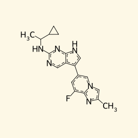 Cc1cn2cc(-c3c[nH]c4nc(NC(C)C5CC5)ncc34)cc(F)c2n1